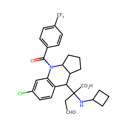 O=CCC(NC1CCC1)(C(=O)O)C1c2ccc(Cl)cc2N(C(=O)c2ccc(C(F)(F)F)cc2)C2CCCC21